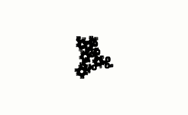 COC(=O)c1cc(OCCC2(CCN3CCC(N(C(=O)c4ccco4)c4ccc(C)cc4)CC3)CCCCC2)cc(C(=O)OC)c1